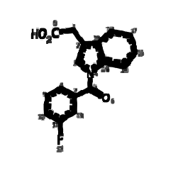 O=C(O)Cc1cn(C(=O)c2cccc(F)c2)c2ccccc12